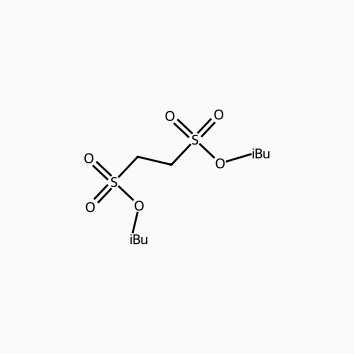 CCC(C)OS(=O)(=O)CCS(=O)(=O)OC(C)CC